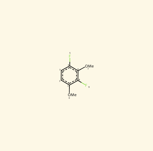 COc1ccc(F)c(OC)c1F